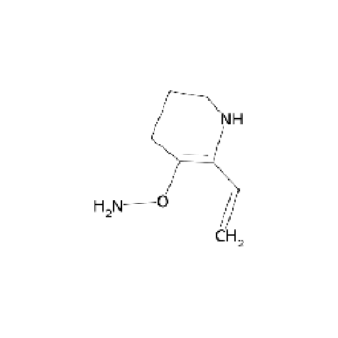 C=CC1=C(ON)CCCN1